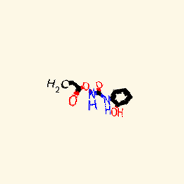 C=CC(=O)ONC(=O)Nc1ccccc1O